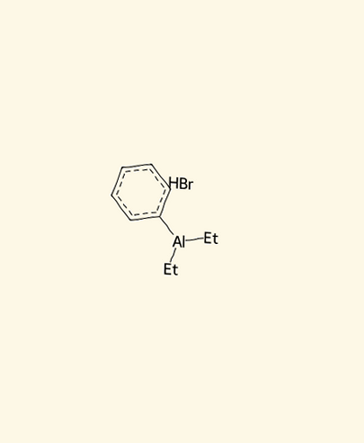 Br.C[CH2][Al]([CH2]C)[c]1ccccc1